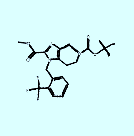 COC(=O)c1nc2c(n1Cc1ccccc1C(F)(F)F)CCN(C(=O)OC(C)(C)C)C2